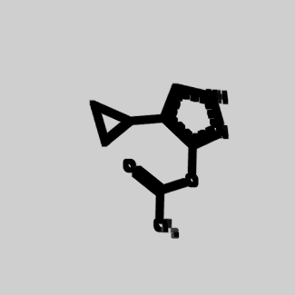 O=C(Oc1n[nH]cc1C1CC1)C(F)(F)F